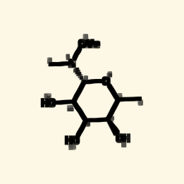 CON(C)[C@@H]1OC(C)[C@@H](O)C(O)C1O